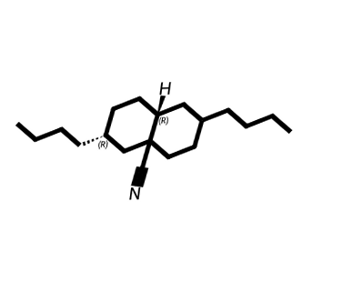 CCCCC1CCC2(C#N)C[C@H](CCCC)CC[C@@H]2C1